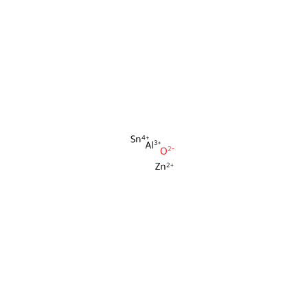 [Al+3].[O-2].[Sn+4].[Zn+2]